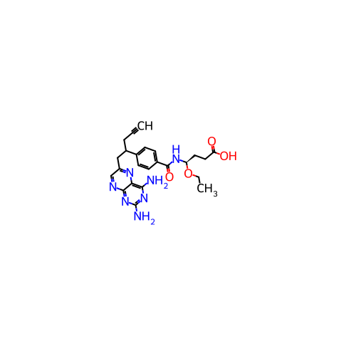 C#CCC(Cc1cnc2nc(N)nc(N)c2n1)c1ccc(C(=O)N[C@@H](CCC(=O)O)OCC)cc1